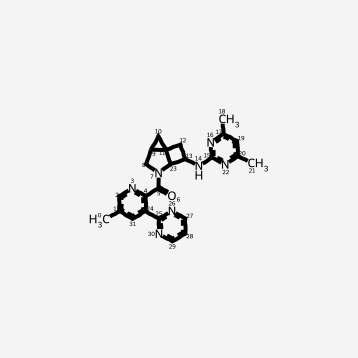 Cc1cnc(C(=O)N2CC3CC34CC(Nc3nc(C)cc(C)n3)C24)c(-c2ncccn2)c1